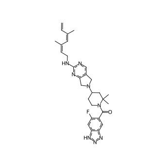 C=C/C(C)=C\C(C)=C/CNc1ncc2c(n1)CN(C1CCN(C(=O)c3cc4nn[nH]c4cc3F)C(C)(C)C1)C2